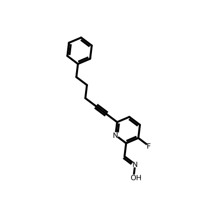 O/N=C/c1nc(C#CCCCc2ccccc2)ccc1F